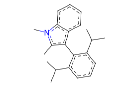 Cc1c(-c2c(C(C)C)cccc2C(C)C)c2ccccc2n1C